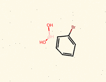 Brc1ccccc1.OBO